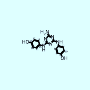 Nc1nc(Nc2ccc(O)cc2)nc(Nc2ccc(O)cc2)n1